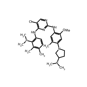 COc1cc(N2CCC(N(C)C)C2)c(C)cc1Nc1ncc(Cl)c(Nc2ccc(C)c(C)c2P(C)C)n1